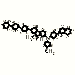 Cc1ccc(N(c2ccc(-c3ccc4ccccc4c3)cc2)c2ccc3c(c2)C(C)(C)c2cc(-c4ccc(-c5ccc(-c6ccccc6)cc5)cc4)ccc2-3)cc1